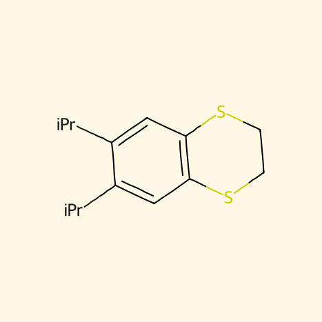 CC(C)c1cc2c(cc1C(C)C)SCCS2